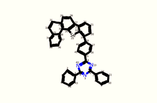 c1ccc(-c2nc(-c3ccccc3)nc(-c3ccc(-c4cccc5c4[se]c4c5ccc5ccc6ccccc6c54)cc3)n2)cc1